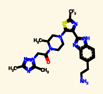 Cc1nc(C)n(CC(=O)N2CCN(c3sc(C(F)(F)F)nc3-c3nc4cc(CCN)ccc4[nH]3)CC2C)n1